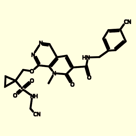 Cn1c(=O)c(C(=O)NCc2ccc(C#N)cc2)cc2cnnc(OCC3(S(=O)(=O)NCC#N)CC3)c21